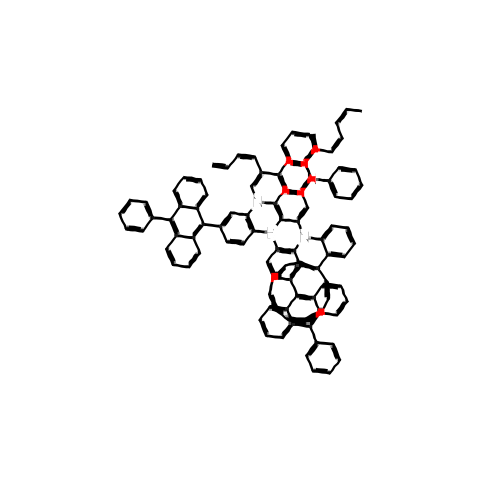 C=C/C=C\C(=C\N1c2cc(-c3c4ccccc4c(-c4ccccc4)c4ccccc34)ccc2B2c3ccc(-c4c5ccccc5c(-c5ccccc5)c5ccccc45)cc3N(c3ccccc3C3=C/C=C\C=C/C=C=C/C=C\3)c3cc(N(c4ccccc4)c4ccccc4)cc1c32)c1cccc(C(=C)/C=C\C=C/C)c1